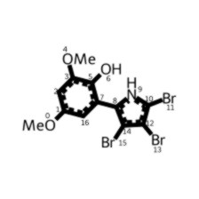 COc1cc(OC)c(O)c(-c2[nH]c(Br)c(Br)c2Br)c1